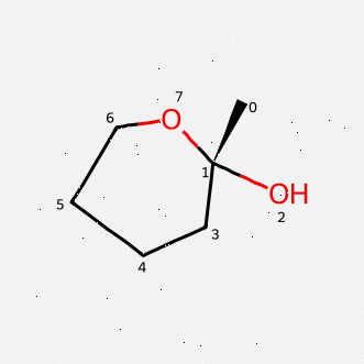 C[C@@]1(O)CCCCO1